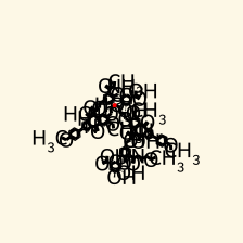 CNC(=O)c1cc(COC(=O)N2c3cc(OCCCCCOc4cc5c(cc4OC)C(=O)N4C=C(c6ccc(OC)cc6)CC4C(O)N5C(=O)OCc4ccc(O[C@@H]5O[C@H](C(=O)O)C[C@H](O)[C@H]5O)c(C(=O)NCCOC)c4)c(OC)cc3C(=O)N3C=C(c4ccc(OC)cc4)C[C@H]3C2O)ccc1O[C@@H]1O[C@H](C(=O)O)C[C@H](O)[C@H]1O